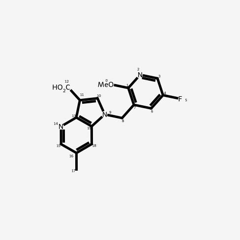 COc1ncc(F)cc1Cn1cc(C(=O)O)c2ncc(C)cc21